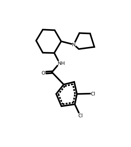 O=C(NC1CCCCC1N1CCCC1)c1ccc(Cl)c(Cl)c1